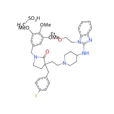 CCOCCn1c(NC2CCN(CCC3(Cc4ccc(F)cc4)CCN(Cc4cc(OC)c(OC)c(OC)c4)C3=O)CC2)nc2ccccc21.CS(=O)(=O)O